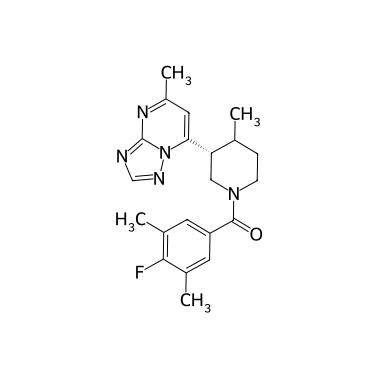 Cc1cc([C@H]2CN(C(=O)c3cc(C)c(F)c(C)c3)CCC2C)n2ncnc2n1